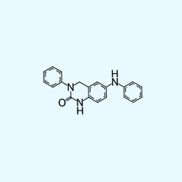 O=C1Nc2ccc(Nc3ccccc3)cc2CN1c1ccccc1